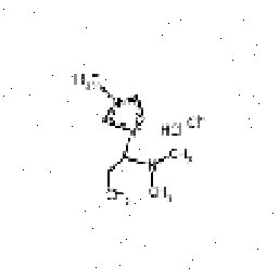 CCC(N(C)C)[n+]1ccn(C)c1.Cl.[Cl-]